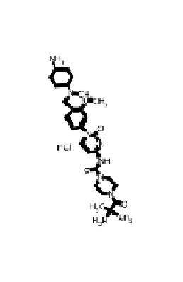 COc1cc(-n2ccc(NC(=O)N3CCN(C(=O)C(C)(C)N)CC3)nc2=O)ccc1CN(C)[C@H]1CC[C@H](N)CC1.Cl